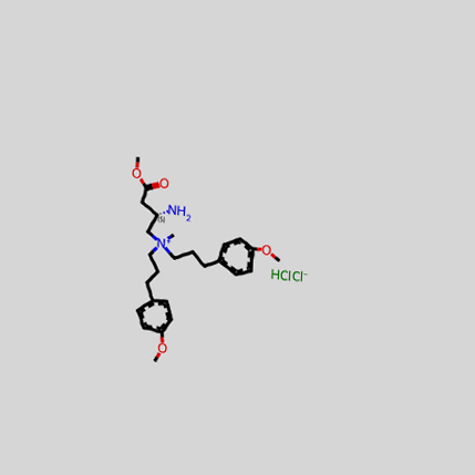 COC(=O)C[C@H](N)C[N+](C)(CCCc1ccc(OC)cc1)CCCc1ccc(OC)cc1.Cl.[Cl-]